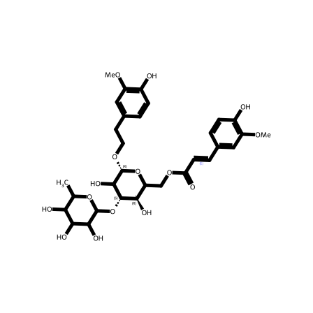 COc1cc(/C=C/C(=O)OCC2O[C@@H](OCCc3ccc(O)c(OC)c3)C(O)[C@@H](OC3OC(C)C(O)C(O)C3O)[C@@H]2O)ccc1O